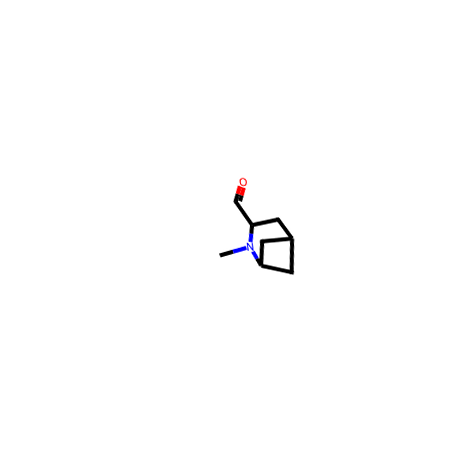 CN1C(C=O)CC2CC1C2